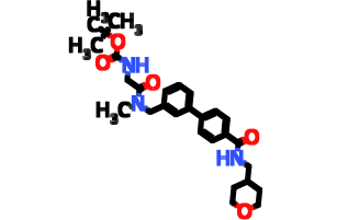 CN(Cc1cccc(-c2ccc(C(=O)NCC3CCOCC3)cc2)c1)C(=O)CNC(=O)OC(C)(C)C